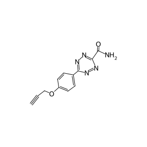 C#CCOc1ccc(-c2nnc(C(N)=O)nn2)cc1